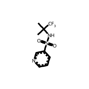 CC(C)(NS(=O)(=O)c1cccnc1)C(F)(F)F